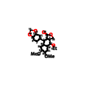 CCOc1c2c(c(-c3ccc4c(c3)OCO4)c3cc(OC)c(OC)cc13)C(=O)OC2